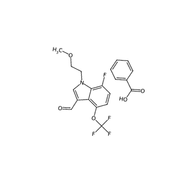 COCCn1cc(C=O)c2c(OC(F)(F)F)ccc(F)c21.O=C(O)c1ccccc1